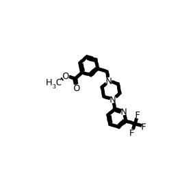 COC(=O)c1cccc(CN2CCN(c3cccc(C(F)(F)F)n3)CC2)c1